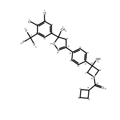 CC1(c2cc(Cl)c(Cl)c(C(F)(F)F)c2)CC(c2ccc(C3(O)CN(C(=O)C4CCC4)C3)cc2)=NO1